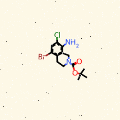 CC(C)(C)OC(=O)N1CCc2c(Br)cc(Cl)c(N)c2C1